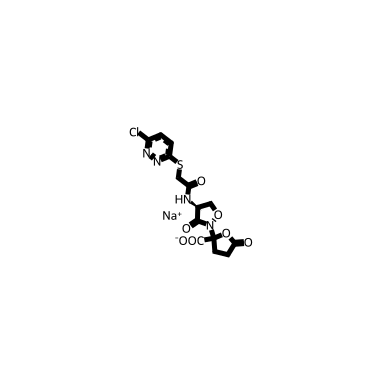 O=C(CSc1ccc(Cl)nn1)N[C@H]1CON(C2(C(=O)[O-])CCC(=O)O2)C1=O.[Na+]